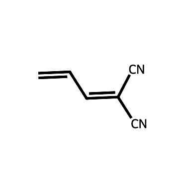 C=CC=C(C#N)C#N